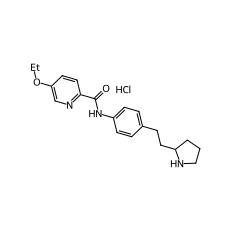 CCOc1ccc(C(=O)Nc2ccc(CCC3CCCN3)cc2)nc1.Cl